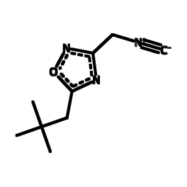 [C-]#[N+]Cc1noc(CC(C)(C)C)n1